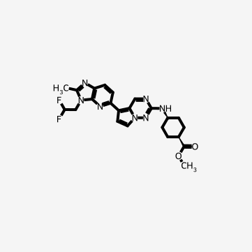 COC(=O)[C@H]1CC[C@@H](Nc2ncc3c(-c4ccc5nc(C)n(CC(F)F)c5n4)ccn3n2)CC1